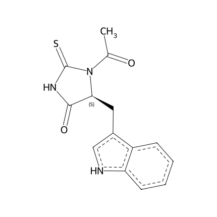 CC(=O)N1C(=S)NC(=O)[C@@H]1Cc1c[nH]c2ccccc12